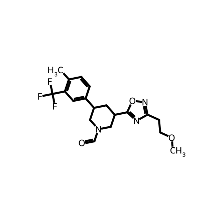 COCCc1noc(C2CC(c3ccc(C)c(C(F)(F)F)c3)CN(C=O)C2)n1